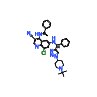 C[C@@H](Nc1c(C#N)cnc2c(Cl)cc(N[C@@H](c3ccccc3)c3cn(C4CCN(C(C)(C)C)CC4)nn3)cc12)c1ccccc1